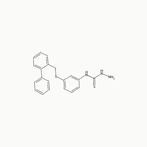 NNC(=S)Nc1cccc(SCc2ccccc2-c2ccccc2)c1